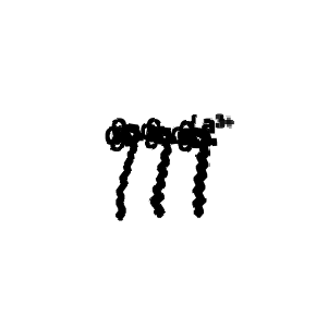 CCCCCCCCCCCCc1cc(S(=O)(=O)[O-])ccc1C.CCCCCCCCCCCCc1cc(S(=O)(=O)[O-])ccc1C.CCCCCCCCCCCCc1cc(S(=O)(=O)[O-])ccc1C.[La+3]